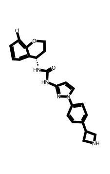 O=C(Nc1ccn(-c2ccc(C3CNC3)cc2)n1)N[C@H]1CCOc2c(Cl)cccc21